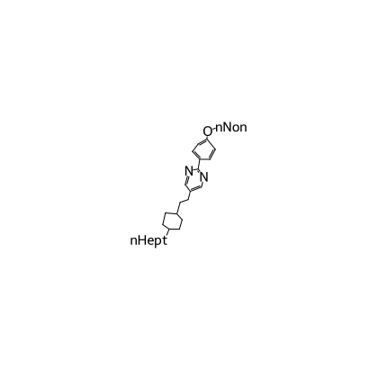 CCCCCCCCCOc1ccc(-c2ncc(CCC3CCC(CCCCCCC)CC3)cn2)cc1